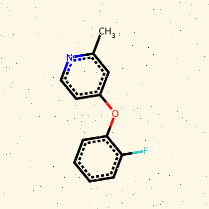 Cc1cc(Oc2ccccc2F)ccn1